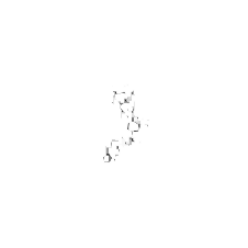 CC[C@@H]1C(=O)N(C)c2cnc(Nc3ccc(C(=O)NC[C@@H]4CN5CCC[C@H]5CO4)cc3OC)nc2N1C(C)C